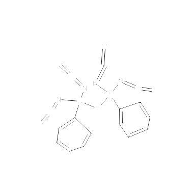 O=C=N[Si](N=C=O)(O[Si](N=C=O)(N=C=O)c1ccccc1)c1ccccc1